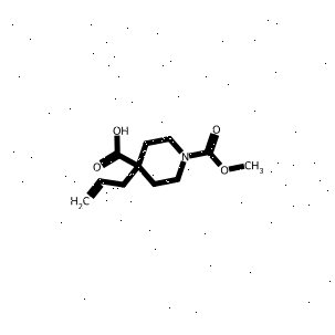 C=CCC1(C(=O)O)CCN(C(=O)OC)CC1